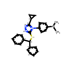 C[As](C)c1ccc(-n2c(SC(c3ccccc3)c3ccccc3)nnc2C2CC2)cc1